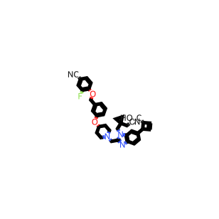 N#CCC1(Cn2c(CN3CCC(Oc4cccc(COc5ccc(C#N)cc5F)c4)CC3)nc3ccc(C4C#CC4C(=O)O)cc32)CC1